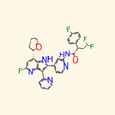 O=C(Nc1cc(-c2[nH]c3c([C@@H]4CCCO4)cc(F)nc3c2-c2ccccn2)ccn1)C(CC(F)F)c1ccc(F)cc1